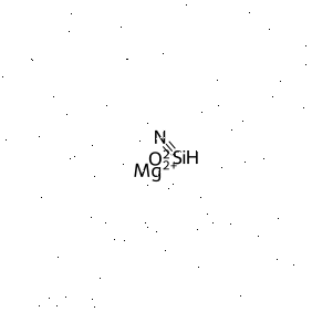 N#[SiH].[Mg+2].[O-2]